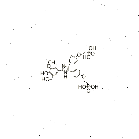 COc1cc(-c2nc(-c3ccc(OCCP(=O)(O)O)cc3)c(-c3ccc(OCCP(=O)(O)O)cc3)[nH]2)cc(CO)c1O